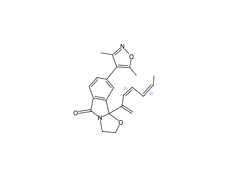 C=C(/C=C\C=C/C)C12OCCN1C(=O)c1ccc(-c3c(C)noc3C)cc12